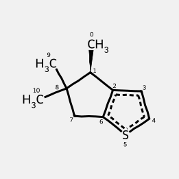 C[C@H]1c2ccsc2CC1(C)C